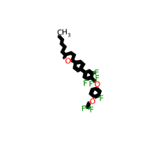 CCCCCCC1CCC(c2ccc(-c3cc(F)c(C(F)(F)Oc4ccc(OC=C(F)F)c(F)c4)c(F)c3)cc2)OC1